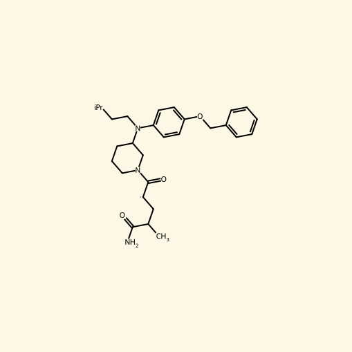 CC(C)CCN(c1ccc(OCc2ccccc2)cc1)C1CCCN(C(=O)[CH]CC(C)C(N)=O)C1